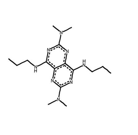 CCCNc1nc(N(C)C)nc2c(NCCC)nc(N(C)C)nc12